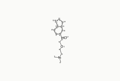 CN(C)CCOCCc1ccc2sccc2c1.Cl